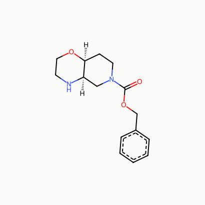 O=C(OCc1ccccc1)N1CC[C@@H]2OCCN[C@@H]2C1